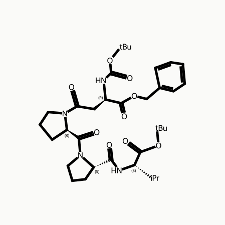 CC(C)[C@H](NC(=O)[C@@H]1CCCN1C(=O)[C@H]1CCCN1C(=O)C[C@@H](NC(=O)OC(C)(C)C)C(=O)OCc1ccccc1)C(=O)OC(C)(C)C